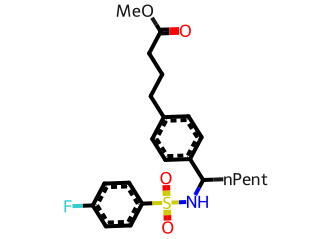 CCCCCC(NS(=O)(=O)c1ccc(F)cc1)c1ccc(CCCC(=O)OC)cc1